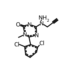 C#CCN(N)c1nc(-c2c(Cl)cccc2Cl)n(C)c(=O)n1